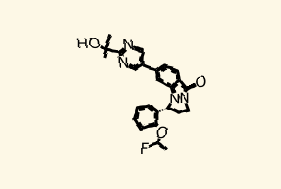 CC(F)Oc1ccccc1[C@H]1CCn2c(=O)c3ccc(-c4cnc(C(C)(C)O)nc4)cc3n21